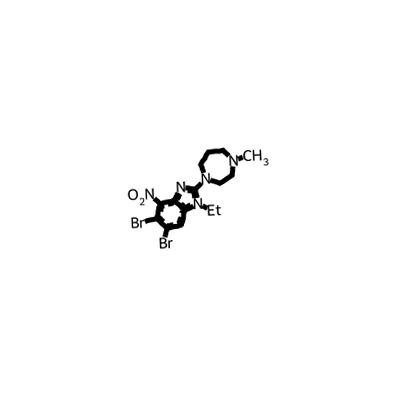 CCn1c(N2CCCN(C)CC2)nc2c([N+](=O)[O-])c(Br)c(Br)cc21